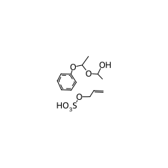 C=CCOS(=O)(=O)O.CC(O)OC(C)Oc1ccccc1